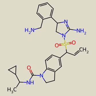 C=CC(c1ccc2c(c1)CCN2C(=O)NC(C)C1CC1)S(=O)(=O)N1CC(c2ccccc2CN)N=C1N